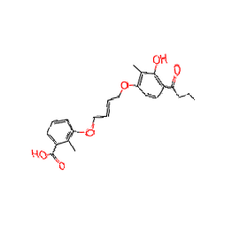 CCCC(=O)c1ccc(OC/C=C/COc2cccc(C(=O)O)c2C)c(C)c1O